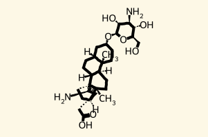 C[C@]12CC[C@H](O[C@@H]3O[C@H](CO)[C@@H](O)[C@H](N)[C@H]3O)C[C@H]1CC[C@@H]1[C@@H]2CC[C@]2(C)[C@@H]3CC[C@]12O[C@H](N)[C@@H]3CC(=O)O